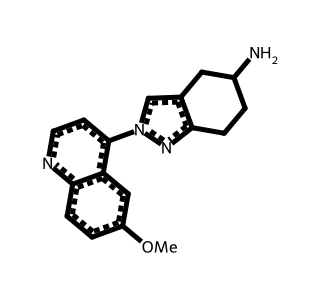 COc1ccc2nccc(-n3cc4c(n3)CCC(N)C4)c2c1